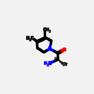 CC1=C(C)CN(C(=O)[C@@H](N)C(C)C)CC1